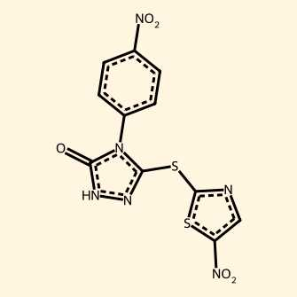 O=c1[nH]nc(Sc2ncc([N+](=O)[O-])s2)n1-c1ccc([N+](=O)[O-])cc1